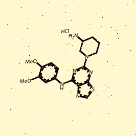 COc1ccc(Nc2nc(N3CCCC(N)C3)nc3scnc23)cc1OC.Cl